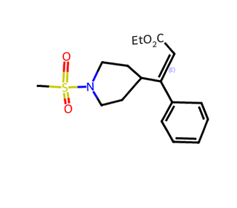 CCOC(=O)/C=C(/c1ccccc1)C1CCN(S(C)(=O)=O)CC1